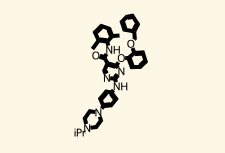 Cc1cccc(C)c1NC(=O)c1cnc(Nc2ccc(N3CCN(C(C)C)CC3)cc2)nc1Oc1ccccc1OCc1ccccc1